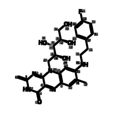 C=c1nc2c(c(=O)[nH]1)=Nc1cc(C)c(NCCc3ccc(F)cc3)cc1N2C[C@H](O)[C@H](O)[C@H](O)CO